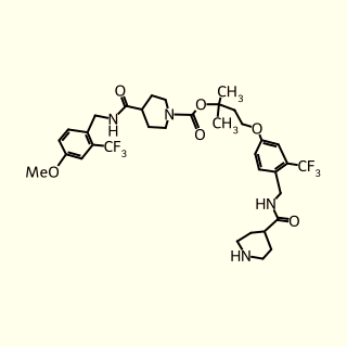 COc1ccc(CNC(=O)C2CCN(C(=O)OC(C)(C)CCOc3ccc(CNC(=O)C4CCNCC4)c(C(F)(F)F)c3)CC2)c(C(F)(F)F)c1